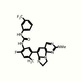 CNc1ncc2c(n1)N1CCN=C1C(c1cc(NC(=O)Nc3cccc(C(F)(F)F)c3)c(F)cc1C)=C2